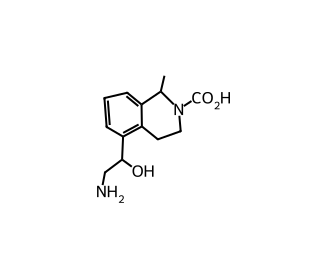 CC1c2cccc(C(O)CN)c2CCN1C(=O)O